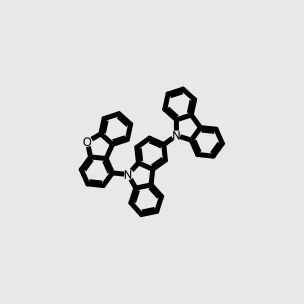 c1ccc2c(c1)oc1cccc(-n3c4ccccc4c4cc(-n5c6ccccc6c6ccccc65)ccc43)c12